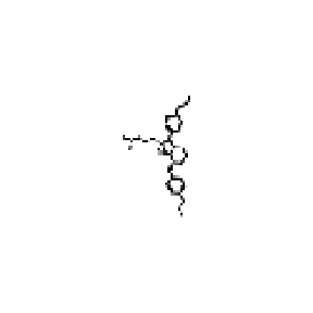 CCCc1ccc(C=C2CCCC3C2=NN(CCCN(C)C)C3c2ccc(CCC)cc2)cc1